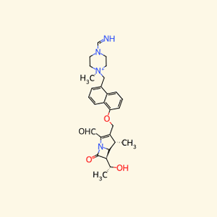 C[C@H]1C(COc2cccc3c(C[N+]4(C)CCN(C=N)CC4)cccc23)=C(C=O)N2C(=O)[C@H]([C@@H](C)O)C12